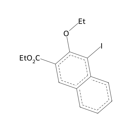 CCOC(=O)c1cc2ccccc2c(I)c1OCC